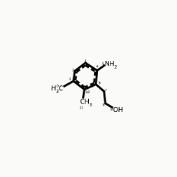 Cc1ccc(N)c(CCO)c1C